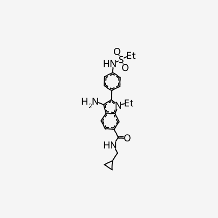 CCn1c(-c2ccc(NS(=O)(=O)CC)cc2)c(N)c2ccc(C(=O)NCC3CC3)cc21